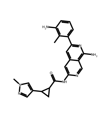 Cc1c(N)cccc1-c1cc2cc(NC(=O)C3CC3c3cnn(C)c3)ncc2c(N)n1